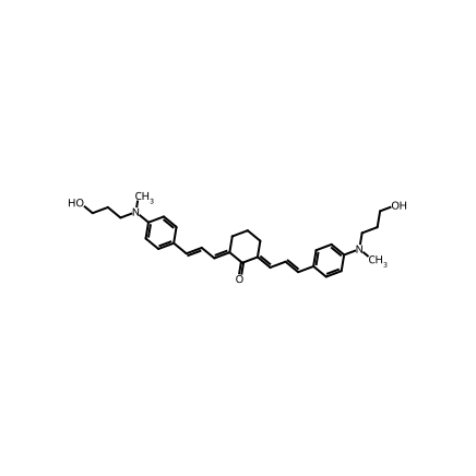 CN(CCCO)c1ccc(/C=C/C=C2\CCC/C(=C\C=C\c3ccc(N(C)CCCO)cc3)C2=O)cc1